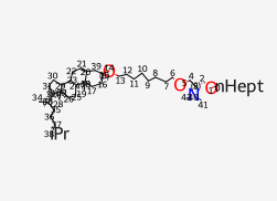 CCCCCCCOC[C@@H](COCCCCCCCCO[C@H]1CC[C@@]2(C)C(=CCC3C2CC[C@@]2(C)C3CC[C@@H]2[C@H](C)CCCC(C)C)C1)N(C)C